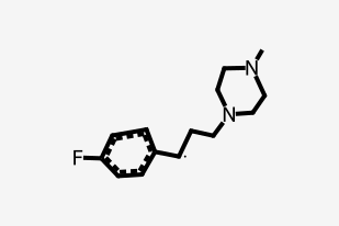 CN1CCN(CC[CH]c2ccc(F)cc2)CC1